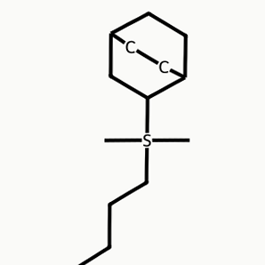 CCCCS(C)(C)C1CC2CCC1CC2